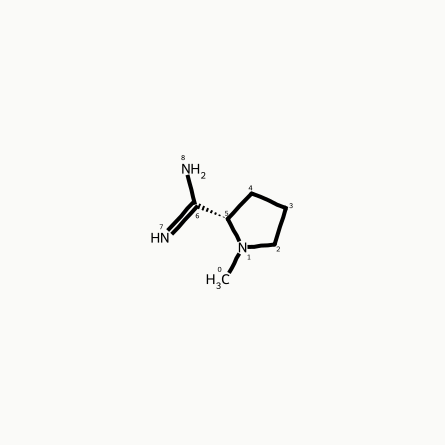 CN1CCC[C@H]1C(=N)N